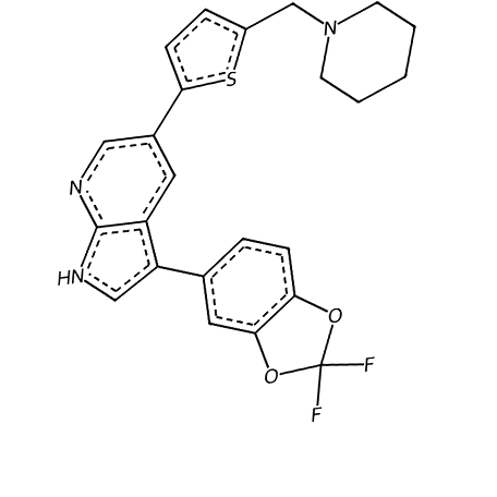 FC1(F)Oc2ccc(-c3c[nH]c4ncc(-c5ccc(CN6CCCCC6)s5)cc34)cc2O1